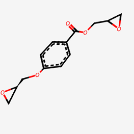 O=C(OCC1CO1)c1ccc(OC[C@H]2CO2)cc1